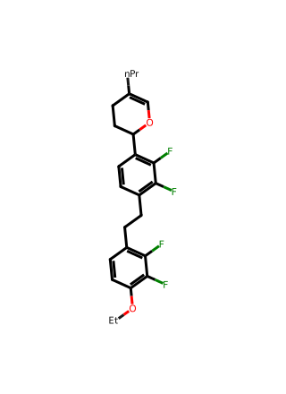 CCCC1=COC(c2ccc(CCc3ccc(OCC)c(F)c3F)c(F)c2F)CC1